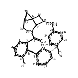 O=C(c1cccc(F)c1-c1ncccn1)N1CC2CC23CC(Nc2cnc(Cl)cn2)C13